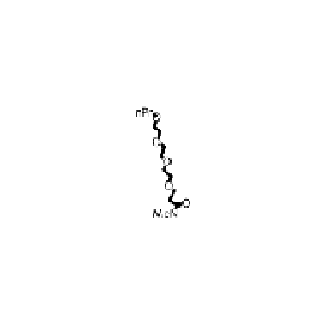 CCCOCCOCCOCCOCCC(=O)NC